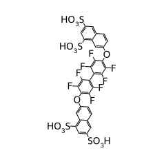 O=S(=O)(O)c1cc(S(=O)(=O)O)c2cc(Oc3c(F)c(F)c(-c4c(F)c(F)c(Oc5ccc6cc(S(=O)(=O)O)cc(S(=O)(=O)O)c6c5)c(F)c4F)c(F)c3F)ccc2c1